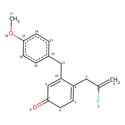 C=C(F)CC1=CCC(=O)C=C1Cc1ccc(OC)cc1